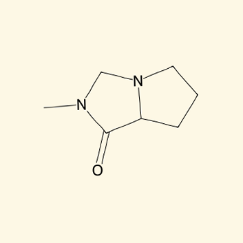 CN1CN2CCCC2C1=O